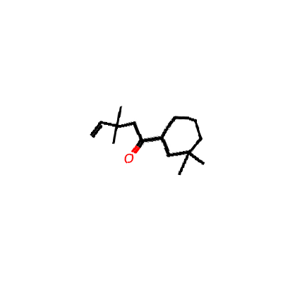 C=CC(C)(C)CC(=O)C1CCCC(C)(C)C1